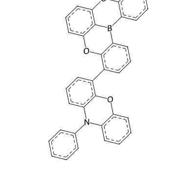 c1ccc(N2c3ccccc3Oc3c(-c4cccc5c4Oc4cccc6c4B5c4ccccc4O6)cccc32)cc1